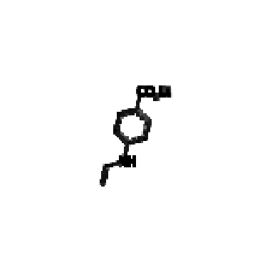 C=CNc1ccc(C(=O)OCC)cc1